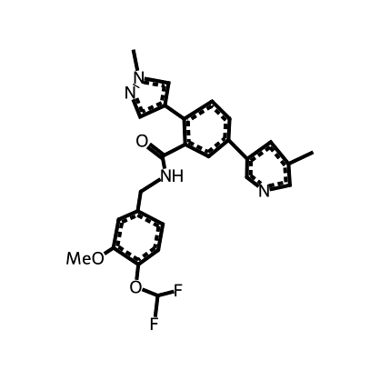 COc1cc(CNC(=O)c2cc(-c3cncc(C)c3)ccc2-c2cnn(C)c2)ccc1OC(F)F